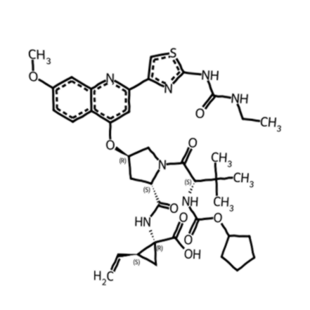 C=C[C@@H]1C[C@]1(NC(=O)[C@@H]1C[C@@H](Oc2cc(-c3csc(NC(=O)NCC)n3)nc3cc(OC)ccc23)CN1C(=O)[C@@H](NC(=O)OC1CCCC1)C(C)(C)C)C(=O)O